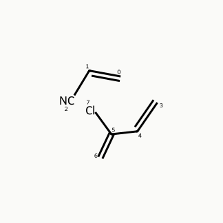 C=CC#N.C=CC(=C)Cl